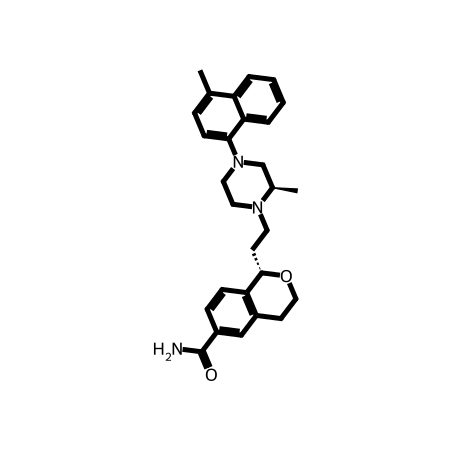 Cc1ccc(N2CCN(CC[C@@H]3OCCc4cc(C(N)=O)ccc43)[C@H](C)C2)c2ccccc12